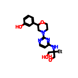 CCC(CO)(CO)Nc1ccnc(N2CCOC(c3cccc(O)c3)C2)n1